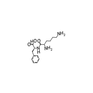 NCCCCC(N)C(=O)N[C@@H](Cc1ccccc1)C(=O)O